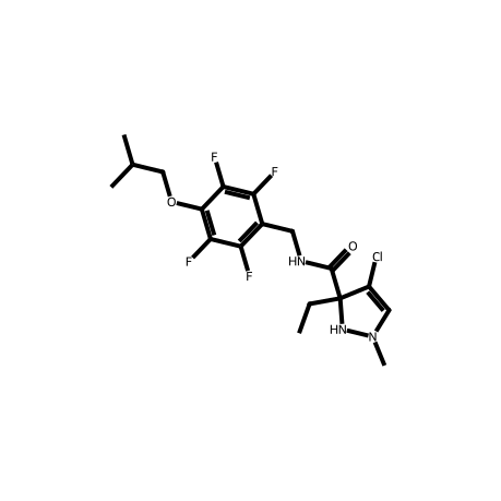 CCC1(C(=O)NCc2c(F)c(F)c(OCC(C)C)c(F)c2F)NN(C)C=C1Cl